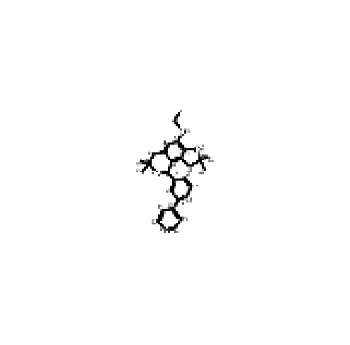 CCOc1cc2c(c3c1OC(C)(C)C3)C(c1cccc(-c3ccncc3)c1)=NC(C)(C)C2